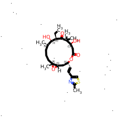 CC[C@H]1C(=O)C(C)(C)[C@@H](O)CC(=O)O[C@H](C=Cc2csc(C)n2)C[C@@H]2O[C@]2(C)CCC[C@H](C)[C@@H]1O